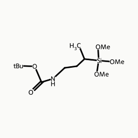 CO[Si](OC)(OC)C(C)CCNC(=O)OC(C)(C)C